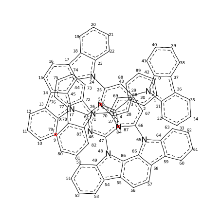 c1ccc(-c2nc(-n3c4ccccc4c4ccc5c6ccccc6n(-c6cccc(-n7c8ccccc8c8ccccc87)c6)c5c43)nc(-n3c4ccccc4c4ccc5c6ccccc6n(-c6cccc(-n7c8ccccc8c8ccccc87)n6)c5c43)n2)cc1